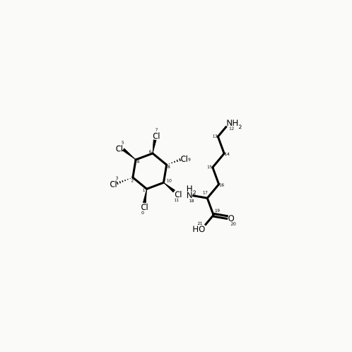 Cl[C@H]1[C@H](Cl)[C@@H](Cl)[C@@H](Cl)[C@H](Cl)[C@H]1Cl.NCCCCC(N)C(=O)O